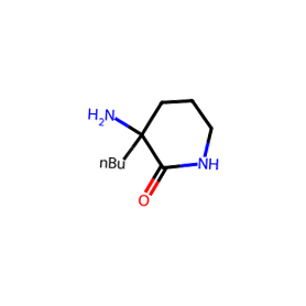 CCCCC1(N)CCCNC1=O